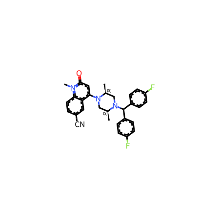 C[C@H]1CN(C(c2ccc(F)cc2)c2ccc(F)cc2)[C@@H](C)CN1c1cc(=O)n(C)c2ccc(C#N)cc12